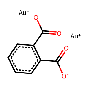 O=C([O-])c1ccccc1C(=O)[O-].[Au+].[Au+]